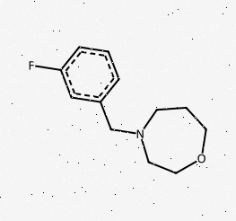 Fc1cccc(CN2CCCOCC2)c1